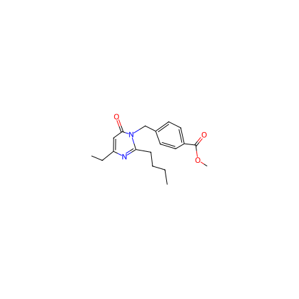 CCCCc1nc(CC)cc(=O)n1Cc1ccc(C(=O)OC)cc1